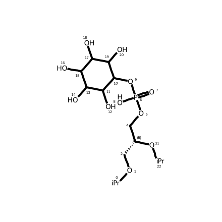 CC(C)OC[C@H](COP(=O)(O)OC1C(O)C(O)C(O)C(O)C1O)OC(C)C